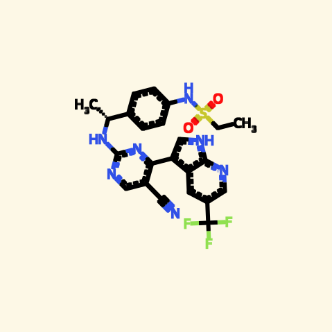 CCS(=O)(=O)Nc1ccc([C@@H](C)Nc2ncc(C#N)c(-c3c[nH]c4ncc(C(F)(F)F)cc34)n2)cc1